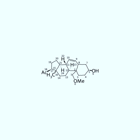 COCC12CC[C@H](O)CC1C=C[C@@H]1[C@@H]2CC[C@]2(C)[C@@H](C(C)=O)CC[C@@H]12